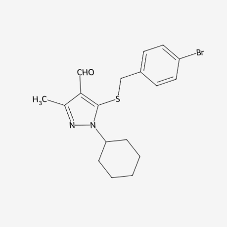 Cc1nn(C2CCCCC2)c(SCc2ccc(Br)cc2)c1C=O